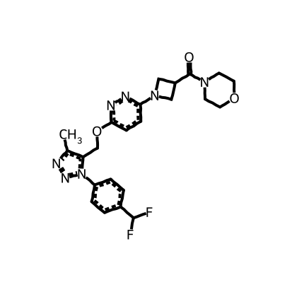 Cc1nnn(-c2ccc(C(F)F)cc2)c1COc1ccc(N2CC(C(=O)N3CCOCC3)C2)nn1